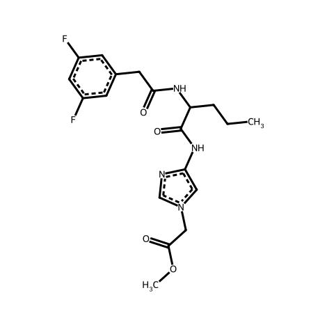 CCCC(NC(=O)Cc1cc(F)cc(F)c1)C(=O)Nc1cn(CC(=O)OC)cn1